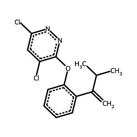 C=C(c1ccccc1Oc1nnc(Cl)cc1Cl)C(C)C